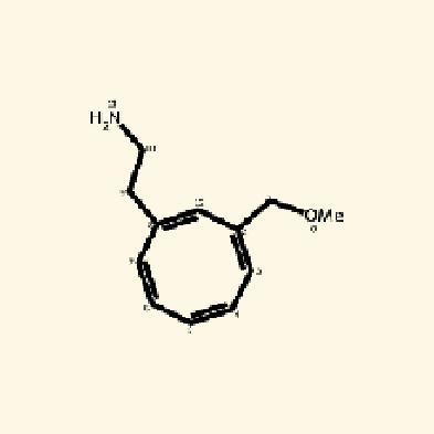 COCC1=C/C=C\C=C/C(CCN)=C\1